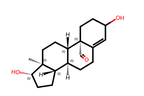 C[C@]12CC[C@H]3[C@@H](CCC4=CC(O)CC[C@@]43C=O)[C@@H]1CC[C@@H]2O